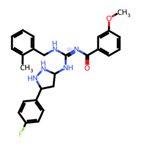 COc1cccc(C(=O)/N=C(/NCc2ccccc2C)NC2CC(c3ccc(F)cc3)NN2)c1